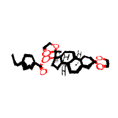 CCc1ccc(C(=O)O[C@]2(C3(C)OCCO3)CC[C@H]3[C@@H]4CC=C5CC6(CC[C@]5(C)[C@H]4CC[C@@]32C)OCCO6)cc1